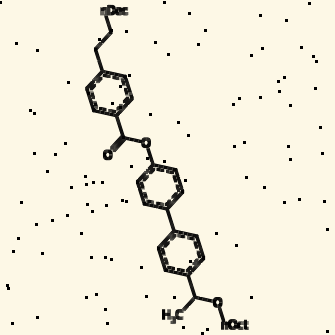 CCCCCCCCCCCCc1ccc(C(=O)Oc2ccc(-c3ccc(C(C)OCCCCCCCC)cc3)cc2)cc1